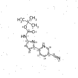 CC(C)(C)OC(=O)Nc1csc(-c2ccc(C#N)cn2)n1